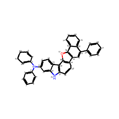 C1=CC(N(c2ccccc2)c2ccc3c(c2)[nH]c2ccc4c5cc(-c6ccccc6)c6ccccc6c5oc4c23)=CCC1